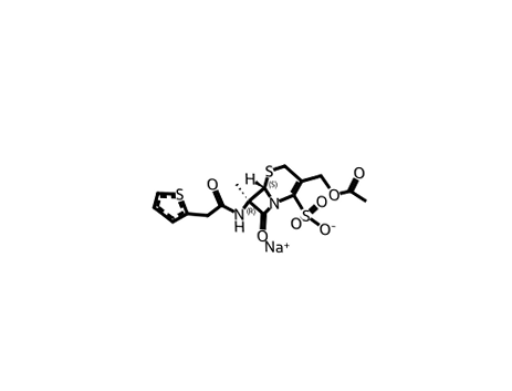 CC(=O)OCC1=C(S(=O)(=O)[O-])N2C(=O)[C@@](C)(NC(=O)Cc3cccs3)[C@@H]2SC1.[Na+]